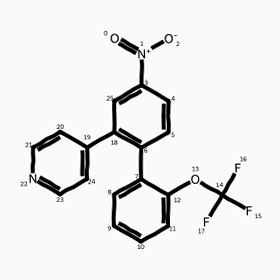 O=[N+]([O-])c1ccc(-c2ccccc2OC(F)(F)F)c(-c2ccncc2)c1